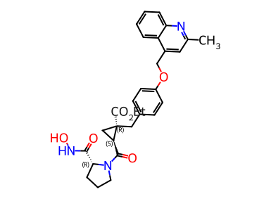 CCOC(=O)[C@@]1(Cc2ccc(OCc3cc(C)nc4ccccc34)cc2)C[C@@H]1C(=O)N1CCC[C@@H]1C(=O)NO